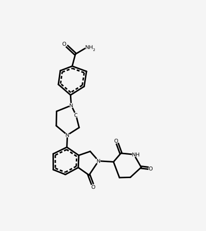 NC(=O)c1ccc(N2CCN(c3cccc4c3CN(C3CCC(=O)NC3=O)C4=O)CC2)cc1